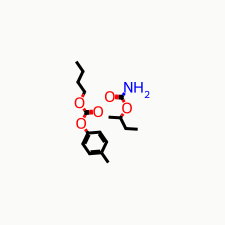 CCC(C)OC(N)=O.CCCCOC(=O)Oc1ccc(C)cc1